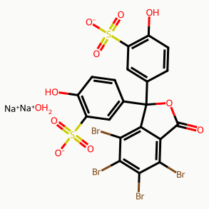 O.O=C1OC(c2ccc(O)c(S(=O)(=O)[O-])c2)(c2ccc(O)c(S(=O)(=O)[O-])c2)c2c(Br)c(Br)c(Br)c(Br)c21.[Na+].[Na+]